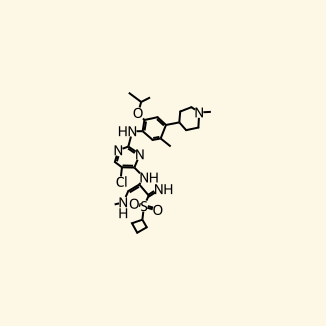 CN/C=C(/Nc1nc(Nc2cc(C)c(C3CCN(C)CC3)cc2OC(C)C)ncc1Cl)C(=N)S(=O)(=O)C1CCC1